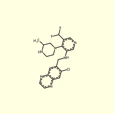 CC1CN(c2c(NCc3cc4nccnc4cc3Cl)cncc2C(F)F)CCN1